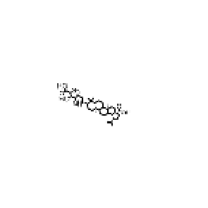 C=C(C)[C@@H]1CC[C@]2(C(=O)O)CC[C@]3(C)C(CCC4[C@@]5(C)CC[C@@H](C(=O)CC6OOC(C(=O)O)[C@@H](O)C6O)C(C)(C)C5CC[C@]43C)C12